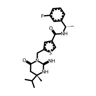 CC(C)[C@]1(C)CC(=O)N(Cc2cc(C(=O)N[C@@H](C)c3cccc(F)c3)cs2)C(=N)N1